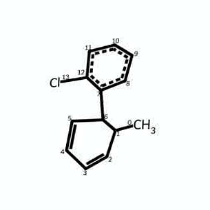 CC1C=CC=CC1c1ccccc1Cl